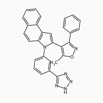 Cc1onc(-c2ccccc2)c1-c1cc2c3ccccc3ccc2n1-c1cccc(-c2nn[nH]n2)c1